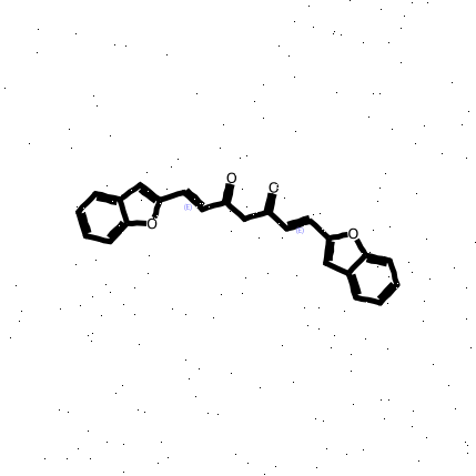 O=C(/C=C/c1cc2ccccc2o1)CC(=O)/C=C/c1cc2ccccc2o1